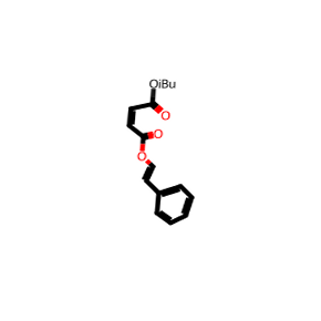 CC(C)COC(=O)/C=C\C(=O)OC=Cc1ccccc1